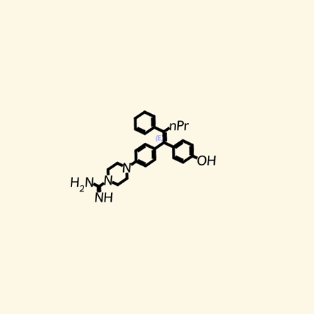 CCC/C(C1=CCCC=C1)=C(\c1ccc(O)cc1)c1ccc(N2CCN(C(=N)N)CC2)cc1